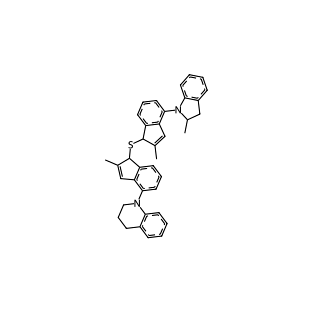 CC1=Cc2c(cccc2N2CCCc3ccccc32)C1SC1C(C)=Cc2c1cccc2N1c2ccccc2CC1C